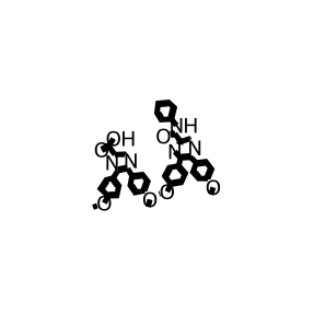 COc1ccc(-c2ncc(C(=O)Nc3ccccc3)nc2-c2ccc(OC)cc2)cc1.COc1ccc(-c2ncc(C(=O)O)nc2-c2ccc(OC)cc2)cc1